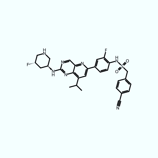 CC(C)c1cc(-c2ccc(NS(=O)(=O)Cc3ccc(C#N)cc3)c(F)c2)nc2cnc(N[C@@H]3CNC[C@@H](F)C3)nc12